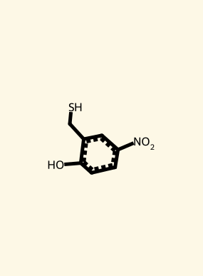 O=[N+]([O-])c1ccc(O)c(CS)c1